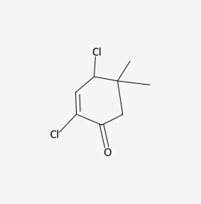 CC1(C)CC(=O)C(Cl)=CC1Cl